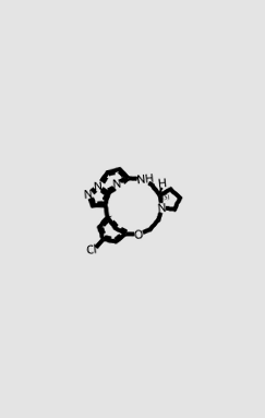 Clc1cc2cc(c1)-c1cnn3ccc(nc13)NC[C@@H]1CCCN1CCO2